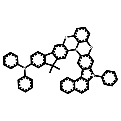 CC1(C)c2cc(N(c3ccccc3)c3ccccc3)ccc2-c2cc3c(cc21)B1c2cc4c5c6ccccc6ccc5n(-c5ccccc5)c4cc2Oc2cccc(c21)O3